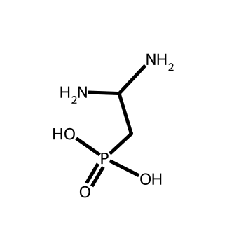 NC(N)CP(=O)(O)O